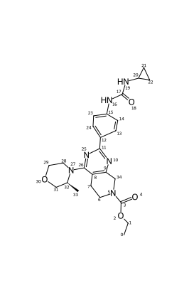 CCOC(=O)N1CCc2c(nc(-c3ccc(NC(=O)NC4CC4)cc3)nc2N2CCOC[C@@H]2C)C1